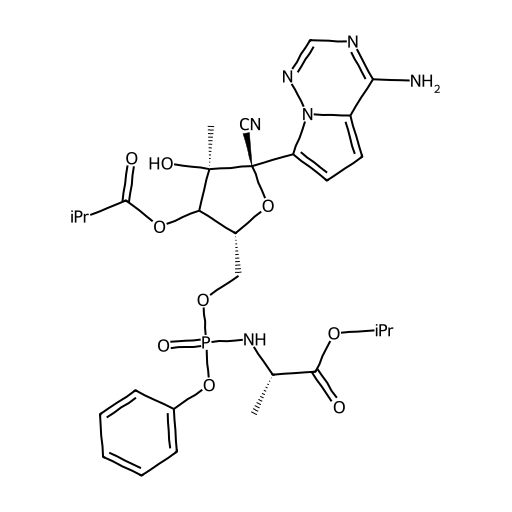 CC(C)OC(=O)[C@H](C)NP(=O)(OC[C@H]1O[C@@](C#N)(c2ccc3c(N)ncnn23)[C@](C)(O)C1OC(=O)C(C)C)Oc1ccccc1